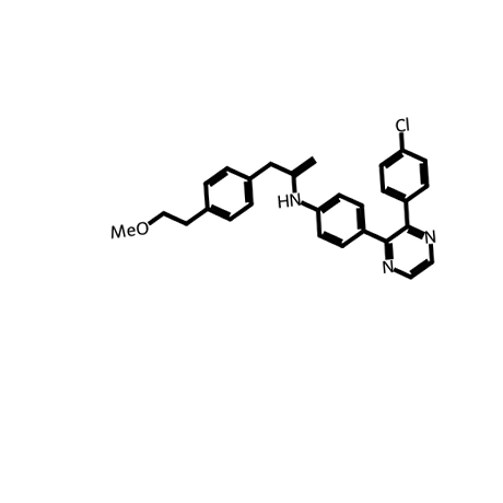 C=C(Cc1ccc(CCOC)cc1)Nc1ccc(-c2nccnc2-c2ccc(Cl)cc2)cc1